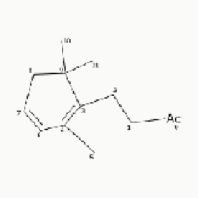 CC(=O)CCC1=C(C)C=CCC1(C)C